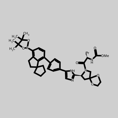 COC(=O)N[C@H](C(=O)N1CC2(C[C@H]1c1ncc(-c3ccc(-c4ccc(B5OC(C)(C)C(C)(C)O5)c5c4C4(CCCC4)CC5)cc3)[nH]1)OCCO2)C(C)C